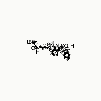 Cc1ccc(S(=O)(=O)Oc2c(C(=O)O)nc(N(C)S(=O)(=O)CCCCNC(=O)OC(C)(C)C)c3cccnc23)cc1